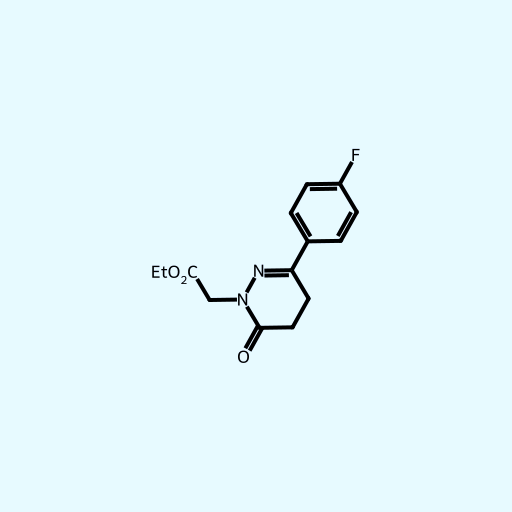 CCOC(=O)CN1N=C(c2ccc(F)cc2)CCC1=O